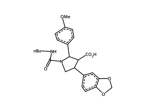 CCCCNC(=O)N1CC(c2ccc3c(c2)OCO3)C(C(=O)O)C1c1ccc(OC)cc1